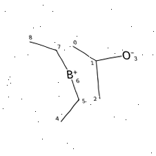 CC(C)[O-].CC[B+]CC